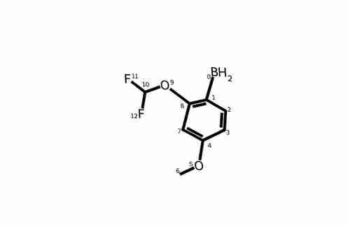 Bc1ccc(OC)cc1OC(F)F